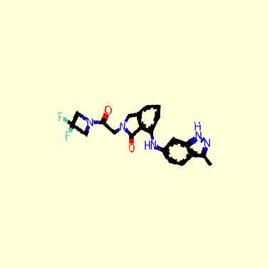 Cc1n[nH]c2cc(Nc3cccc4c3C(=O)N(CC(=O)N3CC(F)(F)C3)C4)ccc12